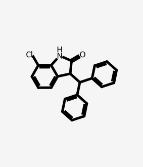 O=C1Nc2c(Cl)cccc2C1C(c1ccccc1)c1ccccc1